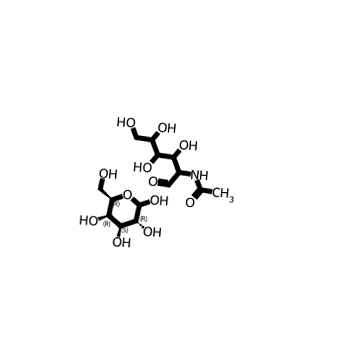 CC(=O)NC(C=O)C(O)C(O)C(O)CO.OC[C@H]1OC(O)[C@H](O)[C@@H](O)[C@H]1O